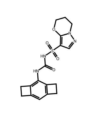 O=C(Nc1c2c(cc3c1CC3)CC2)NS(=O)(=O)c1cnn2c1OCCC2